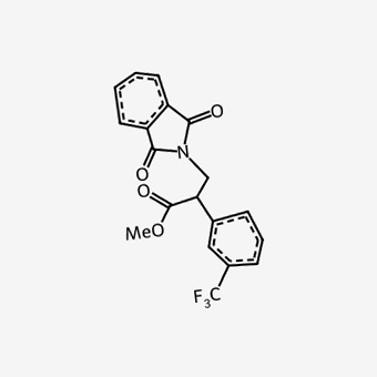 COC(=O)C(CN1C(=O)c2ccccc2C1=O)c1cccc(C(F)(F)F)c1